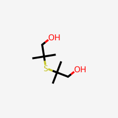 CC(C)(CO)SC(C)(C)CO